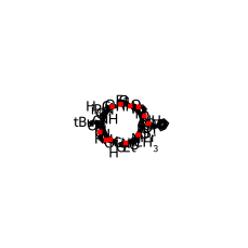 CCN1CC(=O)N(C)[C@@H](C(C)C)C(=O)NC[C@@H](NC(=O)OC(C)(C)C)C(=O)N2CCCC[C@H]2C(=O)NCC(=O)N(CC)CC(=O)N(C)[C@@H](C(C)C)C(=O)NC[C@@H](NC(=O)OCc2ccccc2)C(=O)N2CCCC[C@H]2C(=O)NCC1=O